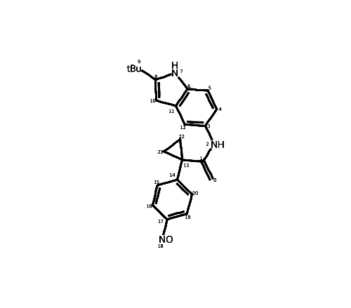 C=C(Nc1ccc2[nH]c(C(C)(C)C)cc2c1)C1(c2ccc(N=O)cc2)CC1